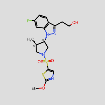 CCOc1ncc(S(=O)(=O)N2C[C@@H](C)[C@@H](n3nc(CCO)c4ccc(F)cc43)C2)s1